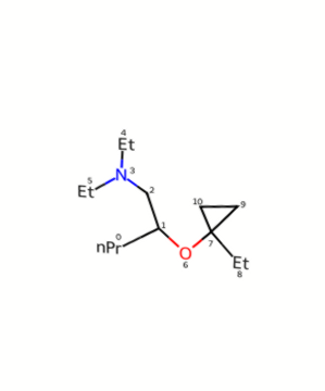 CCCC(CN(CC)CC)OC1(CC)CC1